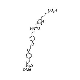 CO[PH](=S)N(C)/N=C/c1ccc(OC=COc2ccc(CCNC(=O)Cn3cc(CCCCC(=O)O)nn3)cc2)cc1